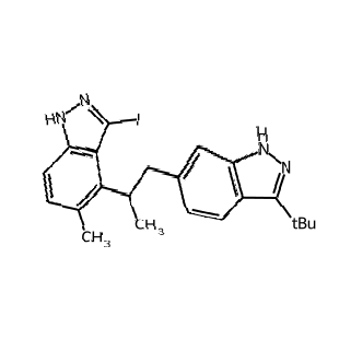 Cc1ccc2[nH]nc(I)c2c1C(C)Cc1ccc2c(C(C)(C)C)n[nH]c2c1